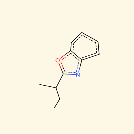 CCC(C)c1nc2ccccc2o1